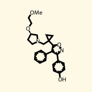 COCCO[C@@H]1CCN(CC2(c3onc(-c4ccc(O)cc4)c3-c3ccccc3)CC2)C1